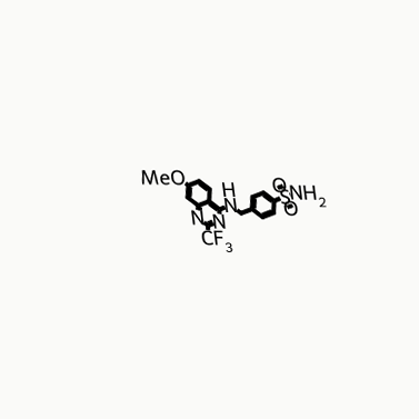 COc1ccc2c(NCc3ccc(S(N)(=O)=O)cc3)nc(C(F)(F)F)nc2c1